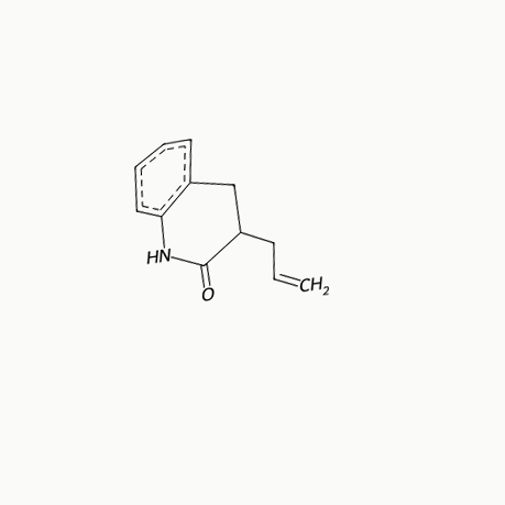 C=CCC1Cc2ccccc2NC1=O